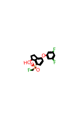 O=S(=O)(CF)c1ccc(Oc2cc(F)cc(F)c2)c2c1C(O)CC2